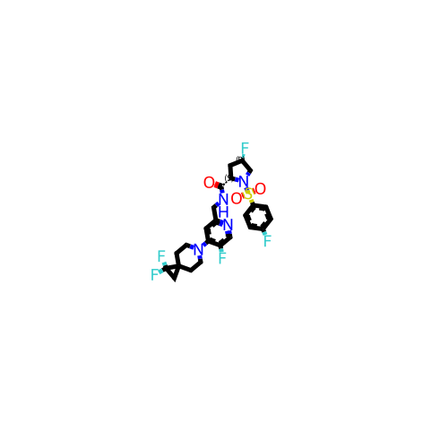 O=C(NCc1cc(N2CCC3(CC2)CC3(F)F)c(F)cn1)[C@@H]1C[C@@H](F)CN1S(=O)(=O)c1ccc(F)cc1